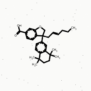 CCC/C=C/CC1(c2ccc3c(c2)C(C)(C)CCC3(C)C)COc2cc(C(=O)O)ccc21